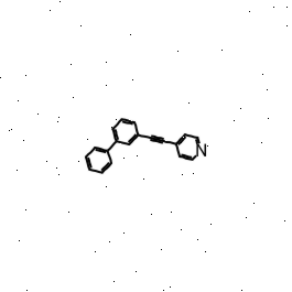 C(#Cc1cccc(-c2ccccc2)c1)c1ccncc1